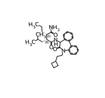 CCC[C@H](C(N)=O)[C@@H](CC(C)C)C(=O)NC1C(=O)N(CCC2CCC2)c2ccccc2-c2ccccc21